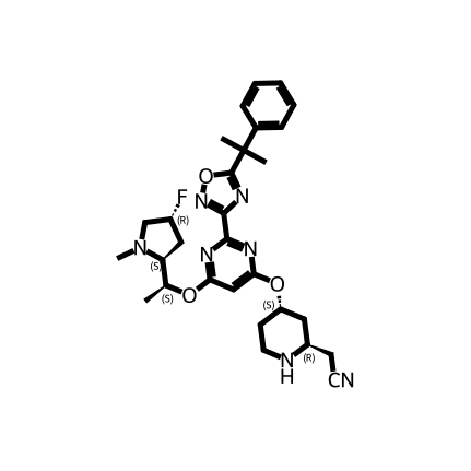 C[C@H](Oc1cc(O[C@H]2CCN[C@H](CC#N)C2)nc(-c2noc(C(C)(C)c3ccccc3)n2)n1)[C@@H]1C[C@@H](F)CN1C